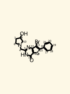 O=c1[nH]c(CN2CCC(O)C2)nc2c(Br)c(-c3ccccc3)sc12